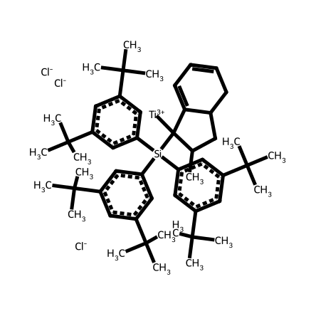 CC1CC2CC=CC=C2[C]1([Ti+3])[Si](c1cc(C(C)(C)C)cc(C(C)(C)C)c1)(c1cc(C(C)(C)C)cc(C(C)(C)C)c1)c1cc(C(C)(C)C)cc(C(C)(C)C)c1.[Cl-].[Cl-].[Cl-]